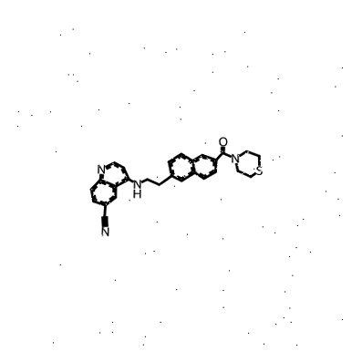 N#Cc1ccc2nccc(NCCc3ccc4cc(C(=O)N5CCSCC5)ccc4c3)c2c1